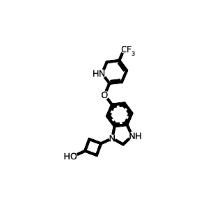 OC1CC(N2CNc3ccc(OC4=CC=C(C(F)(F)F)CN4)cc32)C1